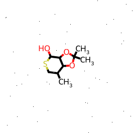 CC1CSC(O)C2OC(C)(C)OC12